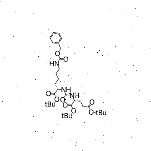 CC(C)(C)OC(=O)CC[C@H](NC(=O)N[C@@H](CCCCNC(=O)OCc1ccccc1)C(=O)OC(C)(C)C)C(=O)OC(C)(C)C